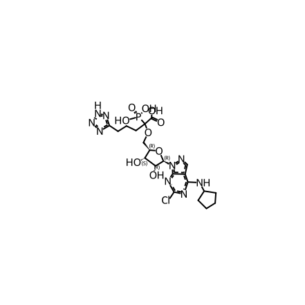 O=C(O)C(CCCc1nn[nH]n1)(OC[C@H]1O[C@@H](n2ncc3c(NC4CCCC4)nc(Cl)nc32)[C@H](O)[C@@H]1O)P(=O)(O)O